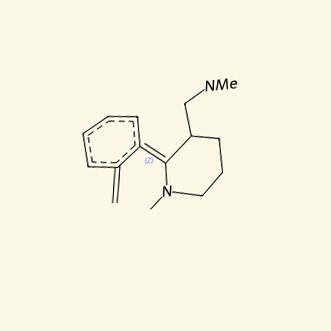 C=c1cccc/c1=C1\C(CNC)CCCN1C